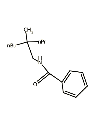 CCCCC(C)(CCC)CNC(=O)c1ccccc1